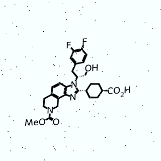 COC(=O)N1CCc2ccc3c(nc([C@H]4CC[C@H](C(=O)O)CC4)n3[C@@H](CO)Cc3ccc(F)c(F)c3)c2C1